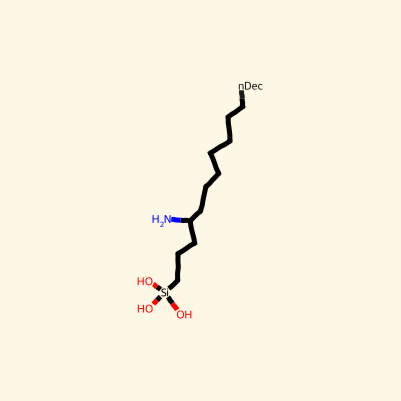 CCCCCCCCCCCCCCCCCC(N)CCC[Si](O)(O)O